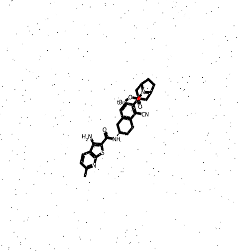 Cc1ccc2c(N)c(C(=O)N[C@H]3CCc4c(ccc(N5CC6CCC(C5)N6C(=O)OC(C)(C)C)c4C#N)C3)sc2n1